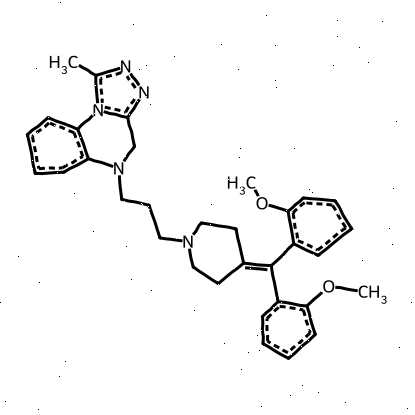 COc1ccccc1C(=C1CCN(CCCN2Cc3nnc(C)n3-c3ccccc32)CC1)c1ccccc1OC